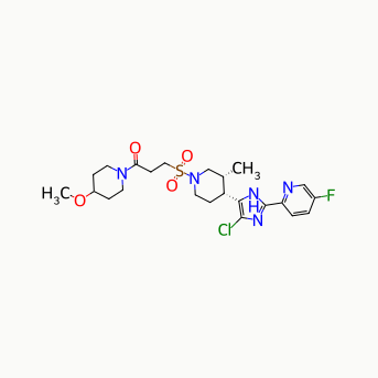 COC1CCN(C(=O)CCS(=O)(=O)N2CC[C@@H](c3[nH]c(-c4ccc(F)cn4)nc3Cl)[C@@H](C)C2)CC1